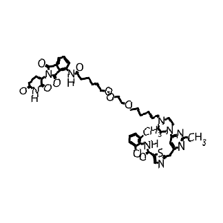 Cc1nc(Cc2ncc(C(=O)Nc3c(C)cccc3Cl)s2)cc(N2CCN(CCCCCCOCCOOCCCCCC(=O)Nc3cccc4c3C(=O)N(C3CCC(=O)NC3=O)C4=O)CC2)n1